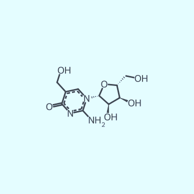 Nc1nc(=O)c(CO)cn1[C@@H]1O[C@H](CO)[C@@H](O)[C@H]1O